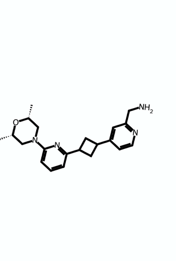 C[C@@H]1CN(c2cccc(C3CC(c4ccnc(CN)c4)C3)n2)C[C@H](C)O1